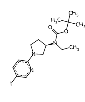 CCN(C(=O)OC(C)(C)C)[C@@H]1CCN(c2ccc(I)cn2)C1